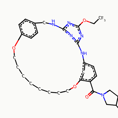 O=C(O)CC1CCN(C(=O)c2ccc3cc2OCCCCCCCCOc2ccc(cc2)CNc2nc(nc(OCC(F)(F)F)n2)N3)C1